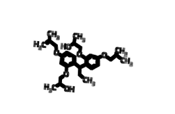 C=C(C)COc1ccc(C(CC)c2ccc(OCC(=C)C)cc2OCC(C)O)c(OCC(C)O)c1